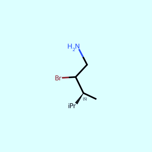 CC(C)[C@H](C)C(Br)CN